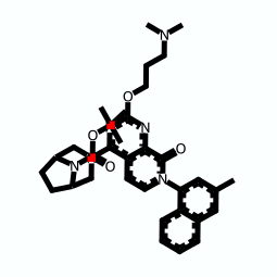 Cc1cc(-n2ccc3c(N4CC5CCC(C4)N5C(=O)OC(C)(C)C)nc(OCCCN(C)C)nc3c2=O)c2ccccc2c1